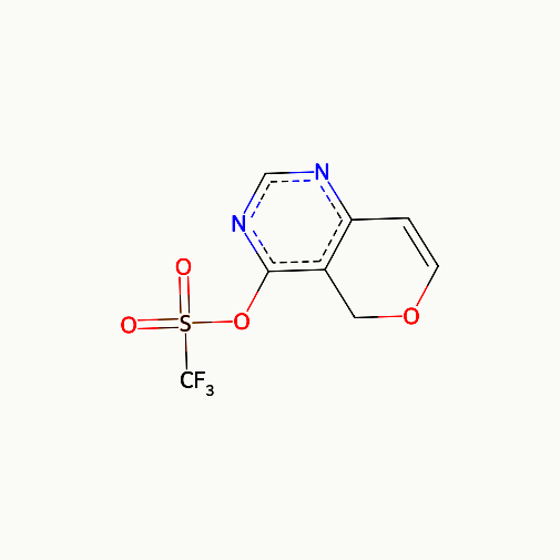 O=S(=O)(Oc1ncnc2c1COC=C2)C(F)(F)F